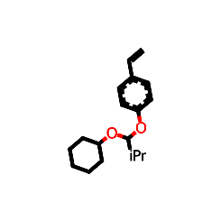 C=Cc1ccc(OC(OC2CCCCC2)C(C)C)cc1